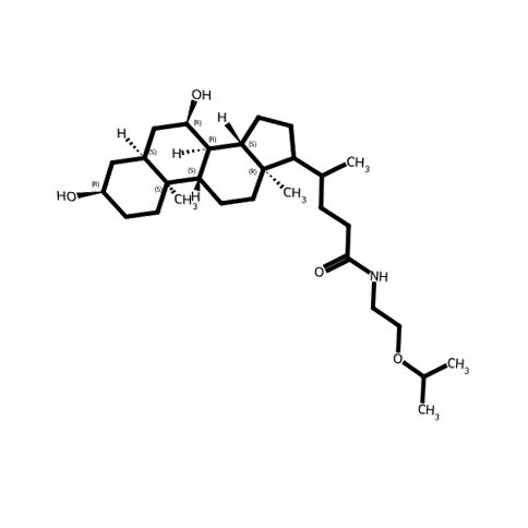 CC(C)OCCNC(=O)CCC(C)C1CC[C@H]2[C@@H]3[C@H](O)C[C@@H]4C[C@H](O)CC[C@]4(C)[C@H]3CC[C@]12C